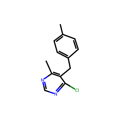 Cc1ccc(Cc2c(C)ncnc2Cl)cc1